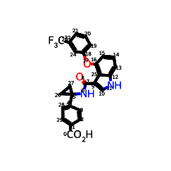 O=C(O)c1ccc(C2(NC(=O)c3c[nH]c4cccc(Oc5cccc(C(F)(F)F)c5)c34)CC2)cc1